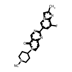 Cc1cn2cc(-c3ncc4c(=O)n(C5CCB(C#N)CC5)ccc4n3)cc(F)c2n1